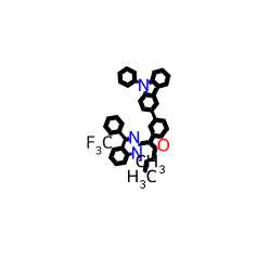 C\C=C/C=c1/oc2ccc(-c3ccc4c(c3)c3ccccc3n4-c3ccccc3)cc2/c1=C1\N=C(c2ccccc2C(F)(F)F)c2ccccc2N1C